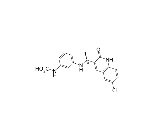 C[C@H](Nc1cccc(NC(=O)O)c1)c1cc2cc(Cl)ccc2[nH]c1=O